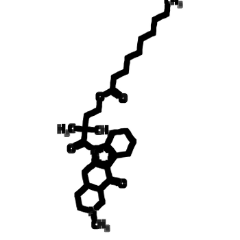 CCCCCCCCCC(=O)OCCC(C)(C)C(=O)n1c2c(c3c1CC1CCN(C)CC1C3=O)CCCC2